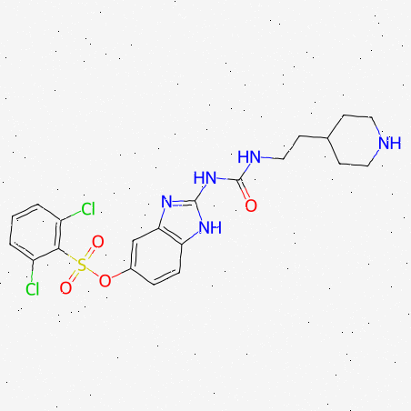 O=C(NCCC1CCNCC1)Nc1nc2cc(OS(=O)(=O)c3c(Cl)cccc3Cl)ccc2[nH]1